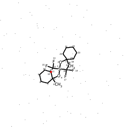 CC1(O[Si](OC2(C)CCCCC2)(C(F)(F)F)C(F)(F)F)CCCCC1